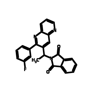 CC(c1cc2ncccc2nc1-c1cccc(F)c1)N1C(=O)c2ccccc2C1=O